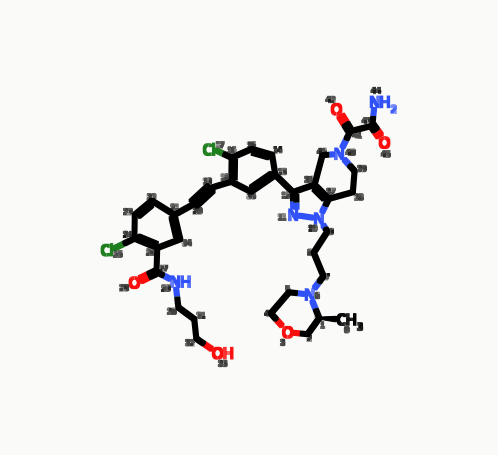 C[C@H]1COCCN1CCCn1nc(-c2ccc(Cl)c(C#Cc3ccc(Cl)c(C(=O)NCCCO)c3)c2)c2c1CCN(C(=O)C(N)=O)C2